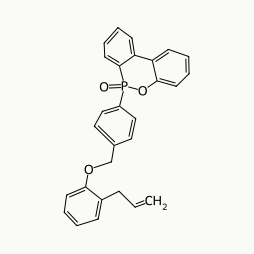 C=CCc1ccccc1OCc1ccc(P2(=O)Oc3ccccc3-c3ccccc32)cc1